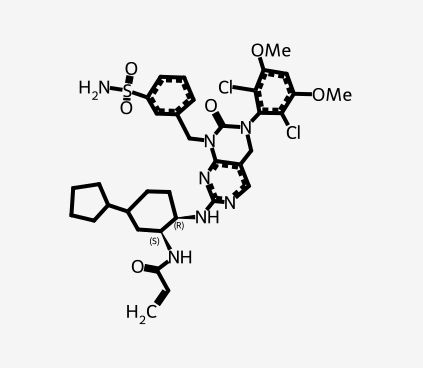 C=CC(=O)N[C@H]1CC(C2CCCC2)CC[C@H]1Nc1ncc2c(n1)N(Cc1cccc(S(N)(=O)=O)c1)C(=O)N(c1c(Cl)c(OC)cc(OC)c1Cl)C2